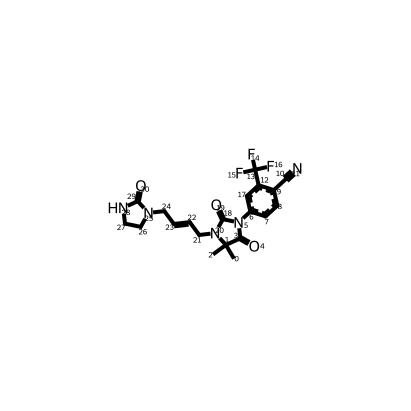 CC1(C)C(=O)N(c2ccc(C#N)c(C(F)(F)F)c2)C(=O)N1CC=CCN1CCNC1=O